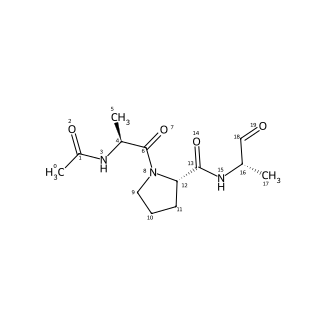 CC(=O)N[C@@H](C)C(=O)N1CCC[C@H]1C(=O)N[C@@H](C)C=O